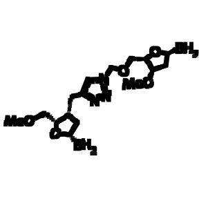 B[C@H]1C[C@@H](Cc2cn(COC[C@H]3O[C@@H](B)C[C@H]3OC)nn2)[C@@H](COC)O1